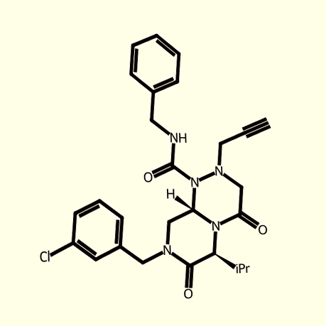 C#CCN1CC(=O)N2[C@@H](C(C)C)C(=O)N(Cc3cccc(Cl)c3)C[C@@H]2N1C(=O)NCc1ccccc1